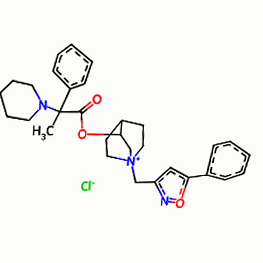 CC(C(=O)OC1C[N+]2(Cc3cc(-c4ccccc4)on3)CCC1CC2)(c1ccccc1)N1CCCCC1.[Cl-]